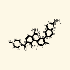 Cc1ccc(-c2c(C(N)=O)ccc(C(=O)N3CCN(C)CC3)c2C(F)(F)F)cc1-c1ccc2nc(N)ncc2c1